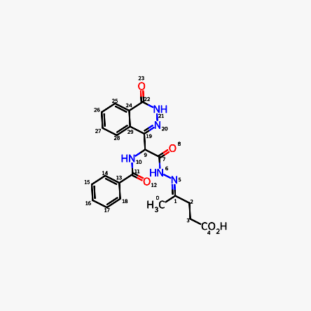 C/C(CCC(=O)O)=N\NC(=O)C(NC(=O)c1ccccc1)c1n[nH]c(=O)c2ccccc12